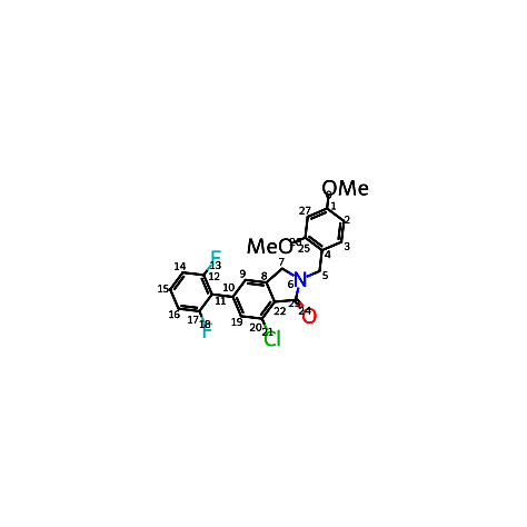 COc1ccc(CN2Cc3cc(-c4c(F)cccc4F)cc(Cl)c3C2=O)c(OC)c1